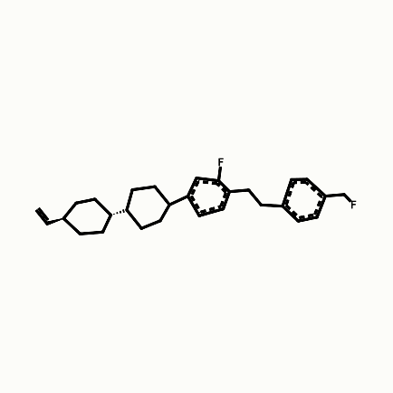 C=C[C@H]1CC[C@H](C2CCC(c3ccc(CCc4ccc(CF)cc4)c(F)c3)CC2)CC1